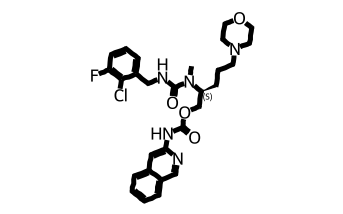 CN(C(=O)NCc1cccc(F)c1Cl)[C@@H](CCCN1CCOCC1)COC(=O)Nc1cc2ccccc2cn1